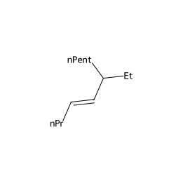 CCC/C=C/C(CC)CCCCC